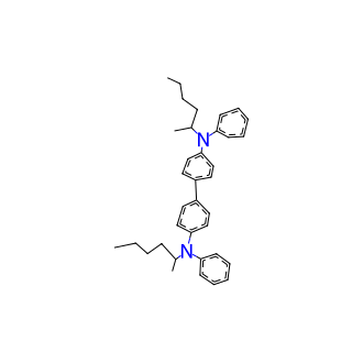 CCCCC(C)N(c1ccccc1)c1ccc(-c2ccc(N(c3ccccc3)C(C)CCCC)cc2)cc1